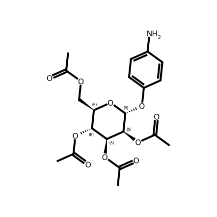 CC(=O)OC[C@H]1O[C@H](Oc2ccc(N)cc2)[C@@H](OC(C)=O)[C@@H](OC(C)=O)[C@@H]1OC(C)=O